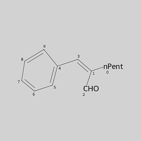 CCCCCC(C=O)=Cc1ccccc1